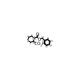 O=C(O)C1CSCCN1C(=O)OCc1ccccc1